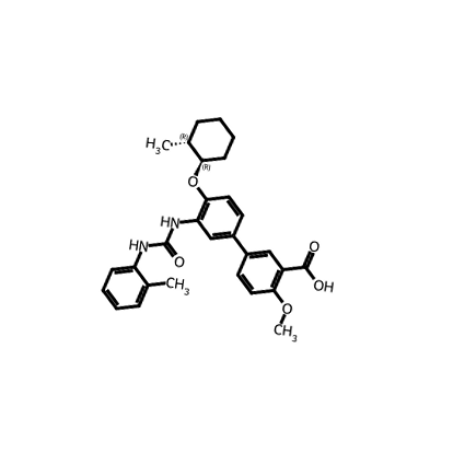 COc1ccc(-c2ccc(O[C@@H]3CCCC[C@H]3C)c(NC(=O)Nc3ccccc3C)c2)cc1C(=O)O